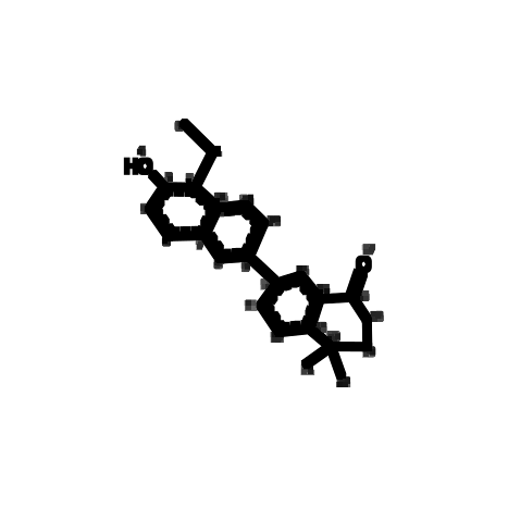 CCc1c(O)ccc2cc(-c3ccc4c(c3)C(=O)CCC4(C)C)ccc12